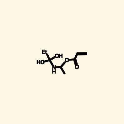 C=CC(=O)OC(C)NC(O)(O)CC